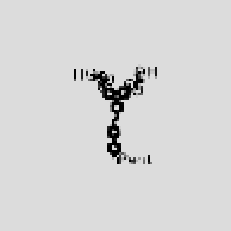 C=C(CO)C(=O)Oc1ccc(C2(c3ccc(OC(=O)C(=C)CO)cc3)CCC(CCc3ccc(-c4ccc(CCCCC)cc4)cc3)CC2)cc1